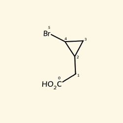 O=C(O)CC1CC1Br